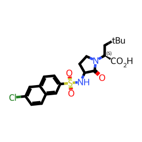 CC(C)(C)C[C@@H](C(=O)O)N1CCC(NS(=O)(=O)c2ccc3cc(Cl)ccc3c2)C1=O